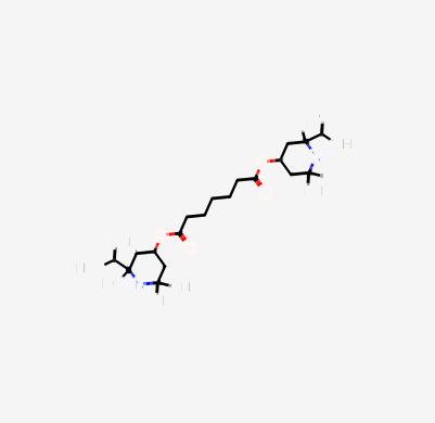 CC(C)C1(C)CC(OC(=O)CCCCCC(=O)OC2CC(C)(C)NC(C)(C(C)C)C2)CC(C)(C)N1